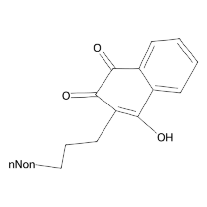 CCCCCCCCCCCCC1=C(O)c2ccccc2C(=O)C1=O